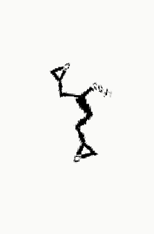 O=C(O)C(=CCC1CO1)CC1CO1